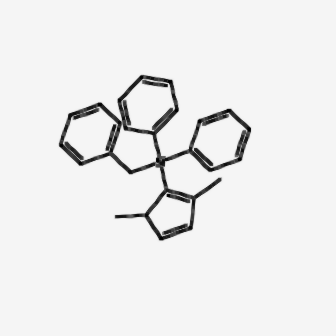 CC1=C([Si](Cc2ccccc2)(c2ccccc2)c2ccccc2)C(C)C=C1